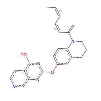 C=C(/C=C\C=C/C)N1CCCc2cc(Oc3nc(O)c4ccncc4n3)ccc21